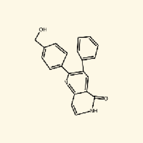 O=c1[nH]ccc2nc(-c3ccc(CO)cc3)c(-c3ccccc3)cc12